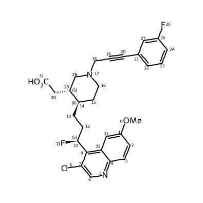 COc1ccc2ncc(Cl)c([C@@H](F)CC[C@@H]3CCN(CC#Cc4cccc(F)c4)C[C@H]3CC(=O)O)c2c1